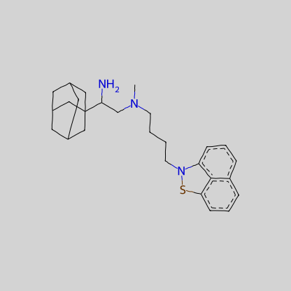 CN(CCCCN1Sc2cccc3cccc1c23)CC(N)C12CC3CC(CC(C3)C1)C2